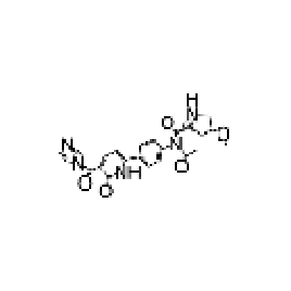 COC1CN[C@H](C(=O)N(C(C)=O)c2ccc(-c3ccc(C(=O)n4ccnc4)c(=O)[nH]3)cc2)C1